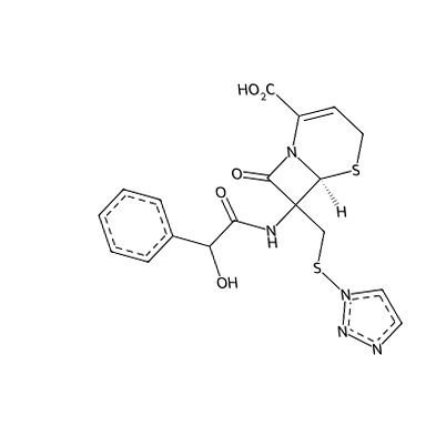 O=C(O)C1=CCS[C@@H]2N1C(=O)C2(CSn1ccnn1)NC(=O)C(O)c1ccccc1